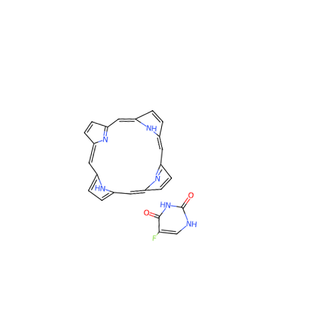 C1=Cc2cc3ccc(cc4nc(cc5ccc(cc1n2)[nH]5)C=C4)[nH]3.O=c1[nH]cc(F)c(=O)[nH]1